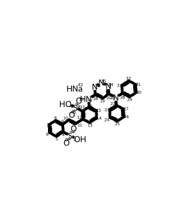 O=S(=O)(O)c1ccccc1C=Cc1cccc(Nc2cc(N(c3ccccc3)c3ccccc3)nnn2)c1S(=O)(=O)O.[NaH]